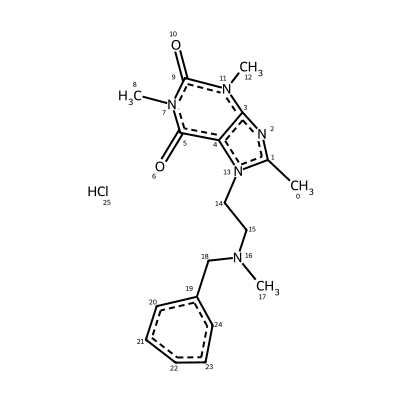 Cc1nc2c(c(=O)n(C)c(=O)n2C)n1CCN(C)Cc1ccccc1.Cl